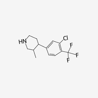 CC1CNCCC1c1ccc(C(F)(F)F)c(Cl)c1